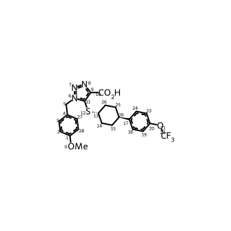 COc1ccc(Cn2nnc(C(=O)O)c2S[C@H]2CC[C@H](c3ccc(OC(F)(F)F)cc3)CC2)cc1